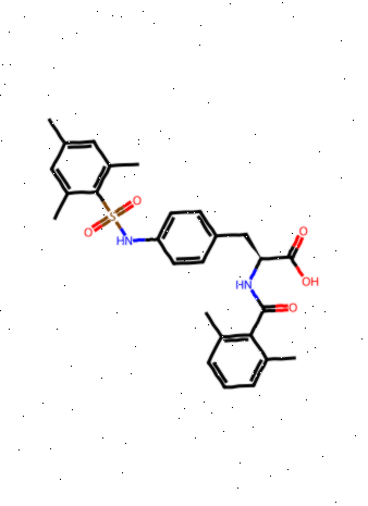 Cc1cc(C)c(S(=O)(=O)Nc2ccc(C[C@H](NC(=O)c3c(C)cccc3C)C(=O)O)cc2)c(C)c1